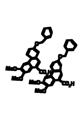 COc1cc2c(C(=O)O)cc3cc(OCc4ccccc4)ccc3c2cc1OC.COc1cc2c(C(=O)O)cc3cc(OCc4ccccc4)ccc3c2cc1OC